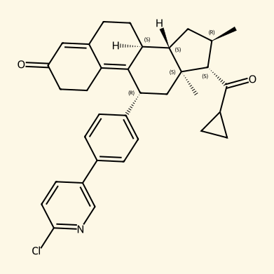 C[C@@H]1C[C@H]2[C@@H]3CCC4=CC(=O)CCC4=C3[C@@H](c3ccc(-c4ccc(Cl)nc4)cc3)C[C@]2(C)[C@H]1C(=O)C1CC1